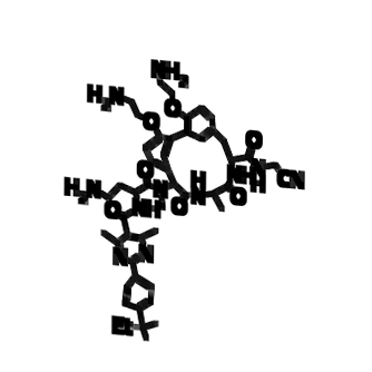 CCC(C)(C)c1ccc(-c2nc(C)c(C(=O)NC(CCN)C(=O)N(C)C3C(=O)NC(C)C(=O)NC(C(=O)NCC#N)Cc4ccc(OCCN)c(c4)-c4cc3ccc4OCCN)c(C)n2)cc1